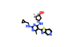 Cc1nc(NCC2CC2)nc(N[C@@H]2C[C@H](C)[C@@H](O)C2)c1-c1nc2cnccc2s1